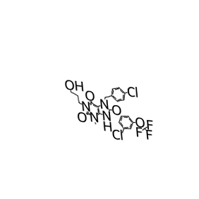 Cn1c2c(c(=O)n(CCCO)c1=O)N(Cc1ccc(Cl)cc1)C(Oc1cc(Cl)cc(OC(F)(F)F)c1)N2